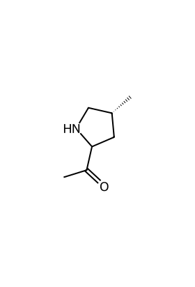 CC(=O)C1C[C@@H](C)CN1